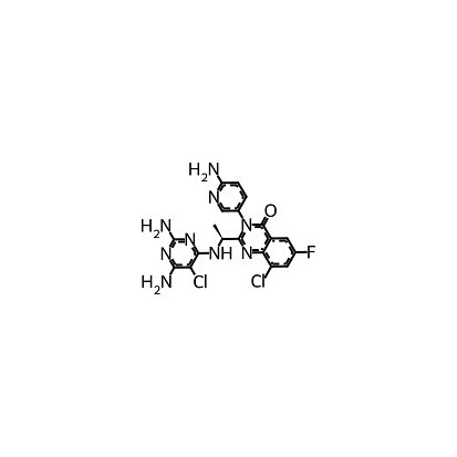 C[C@H](Nc1nc(N)nc(N)c1Cl)c1nc2c(Cl)cc(F)cc2c(=O)n1-c1ccc(N)nc1